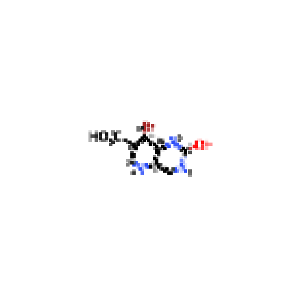 O=C(O)c1cnc2cnc(O)nc2c1Br